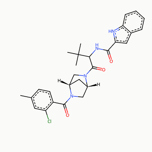 Cc1ccc(C(=O)N2C[C@@H]3C[C@H]2CN3C(=O)C(NC(=O)c2cc3ccccc3[nH]2)C(C)(C)C)c(Cl)c1